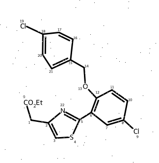 CCOC(=O)Cc1csc(-c2cc(Cl)ccc2OCc2ccc(Cl)cc2)n1